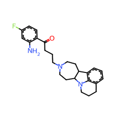 Nc1cc(F)ccc1C(=O)CCCN1CCC2c3cccc4c3N(CCC4)C2CC1